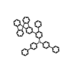 c1ccc(-c2ccc(N(c3ccc(-c4ccccc4)cc3)c3ccc(-c4ccccc4)c(-c4ccc5c(c4)-c4ccccc4C54c5ccccc5-c5ccccc54)c3)cc2)cc1